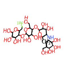 CC1OC(OC2C(CO)OC(OC3C(C[18F])OC(O)C(O)C3O)C(O)C2O)C(O)C(O)C1NC1C=C(CO)C(O)C(O)C1O